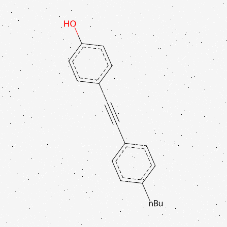 CCCCc1ccc(C#Cc2ccc(O)cc2)cc1